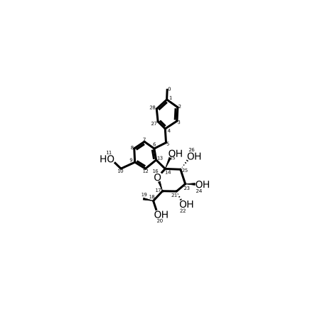 Cc1ccc(Cc2ccc(CO)cc2[C@@]2(O)O[C@H]([C@H](C)O)[C@@H](O)[C@H](O)[C@H]2O)cc1